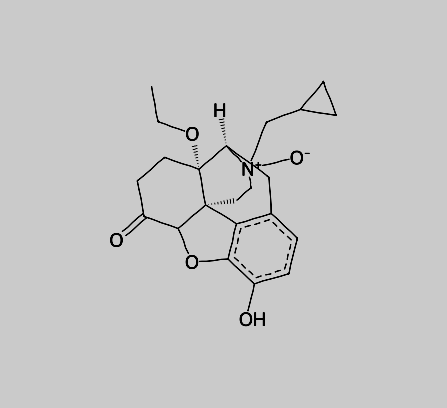 CCO[C@@]12CCC(=O)C3Oc4c(O)ccc5c4[C@@]31CC[N+]([O-])(CC1CC1)[C@@H]2C5